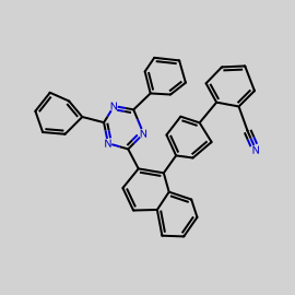 N#Cc1ccccc1-c1ccc(-c2c(-c3nc(-c4ccccc4)nc(-c4ccccc4)n3)ccc3ccccc23)cc1